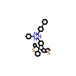 c1ccc(-c2ccc(-c3nc(-c4ccccc4)nc(-c4ccc5c(c4)C4(c6ccccc6Sc6ccccc64)c4ccc6sccc6c4-5)n3)cc2)cc1